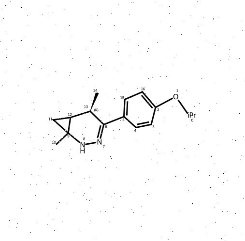 CC(C)Oc1ccc(C2=NNC3(C)CC3[C@H]2C)cc1